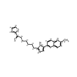 Cc1ccc2cc(-c3cnc(CCCCCCC(=O)c4ncco4)[nH]3)ccc2n1